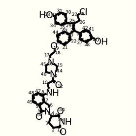 O=C1CCC(N2Cc3c(NCC(=O)N4CCN(CCOc5ccc(C(=C(CCCl)c6ccc(O)cc6)c6ccc(O)cc6)cc5)CC4)cccc3C2=O)C(=O)N1